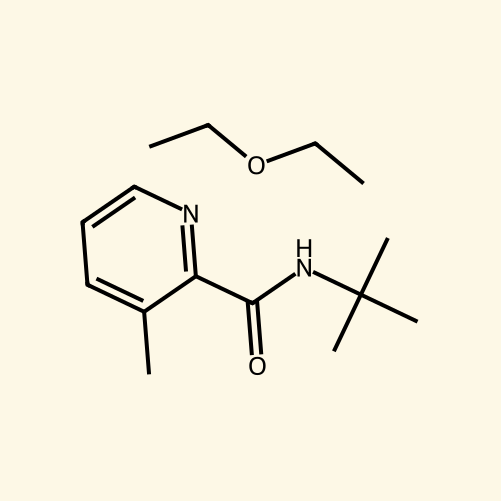 CCOCC.Cc1cccnc1C(=O)NC(C)(C)C